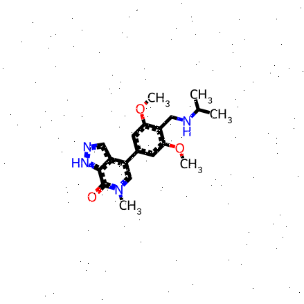 COc1cc(-c2cn(C)c(=O)c3[nH]ncc23)cc(OC)c1CNC(C)C